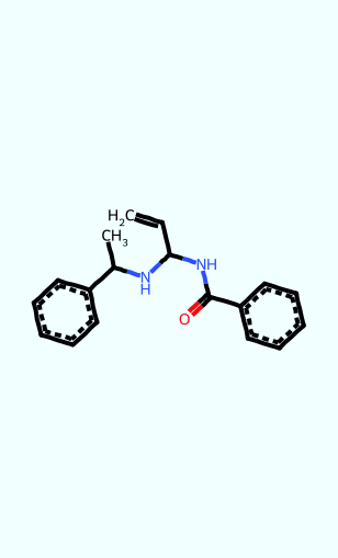 C=CC(NC(=O)c1ccccc1)NC(C)c1ccccc1